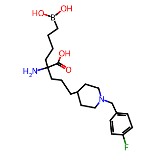 NC(CCCCB(O)O)(CCCC1CCN(Cc2ccc(F)cc2)CC1)C(=O)O